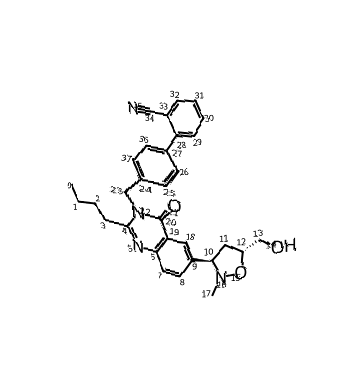 CCCCc1nc2ccc([C@H]3C[C@H](CO)ON3C)cc2c(=O)n1Cc1ccc(-c2ccccc2C#N)cc1